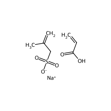 C=C(C)CS(=O)(=O)[O-].C=CC(=O)O.[Na+]